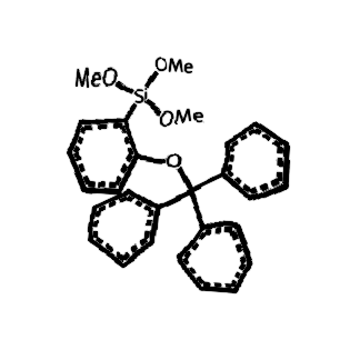 CO[Si](OC)(OC)c1ccccc1OC(c1ccccc1)(c1ccccc1)c1ccccc1